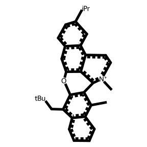 Cc1c2c(c(CC(C)(C)C)c3ccccc13)Oc1cc3ccc(C(C)C)cc3c3cc[n+](C)c-2c13